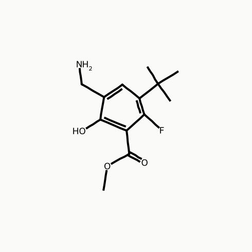 COC(=O)c1c(O)c(CN)cc(C(C)(C)C)c1F